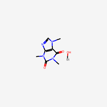 CCO.Cn1c(=O)c2c(ncn2C)n(C)c1=O